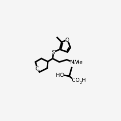 CC(O)C(=O)O.CNCCC(Sc1ccoc1C)C1CCCCC1